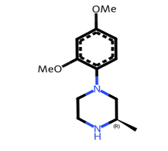 COc1ccc(N2CCN[C@H](C)C2)c(OC)c1